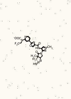 Cn1cc(NC(=O)c2coc(-c3ccnc(N(CC(F)(F)F)C(=O)[O-])c3)n2)c(N2CC(N=[N+]=N)C(C)(C)C2=O)n1